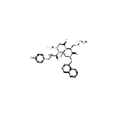 NN1CC(=O)N2[C@@H](CCC(=O)O)C(=O)N(Cc3cccc4ccccc34)C[C@@H]2N1C(=O)NCc1ccc(F)cc1